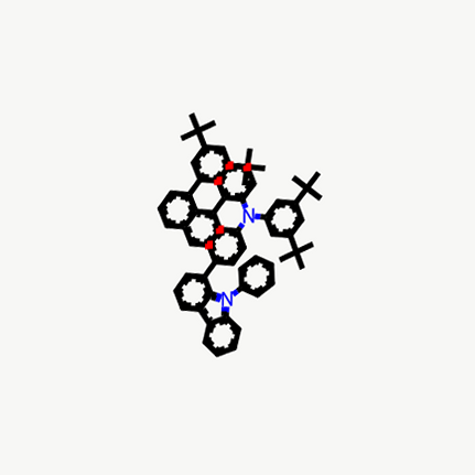 CC(C)(C)c1cc(-c2cccc3cccc(-c4ccccc4N(c4ccc(-c5cccc6c7ccccc7n(-c7ccccc7)c56)cc4)c4cc(C(C)(C)C)cc(C(C)(C)C)c4)c23)cc(C(C)(C)C)c1